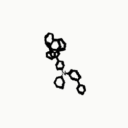 c1ccc(-c2cccc(N(c3ccc(-c4ccc5c(c4)-c4c6cccc4-c4cccc-5c4-c4ccccc4-6)cc3)C3CCCCC3)c2)cc1